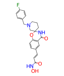 O=C(/C=C/c1ccc2c(c1)C(=O)NC1(CCCN(Cc3ccc(F)cc3)C1)O2)NO